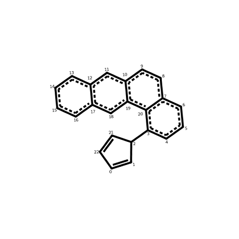 C1=CC(c2cccc3ccc4cc5ccccc5cc4c23)C=C1